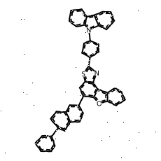 c1ccc(-c2ccc3cc(-c4cc5sc(-c6ccc(-n7c8ccccc8c8ccccc87)cc6)nc5c5c4oc4ccccc45)ccc3c2)cc1